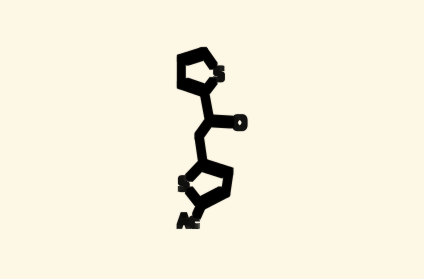 [CH2]C(=O)c1ccc(CC(=O)c2cccs2)s1